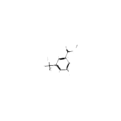 COC(=O)c1cc(Cl)cc(C(F)(F)F)c1